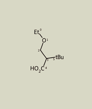 CCOCC(C(=O)O)C(C)(C)C